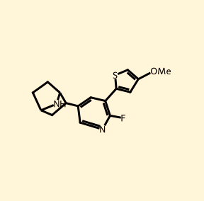 COc1csc(-c2cc(C3CC4CCC3N4)cnc2F)c1